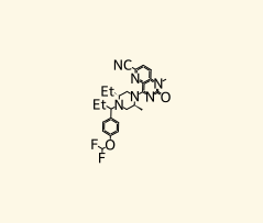 CCC(c1ccc(OC(F)F)cc1)N1C[C@H](C)N(c2nc(=O)n(C)c3ccc(C#N)nc23)C[C@H]1CC